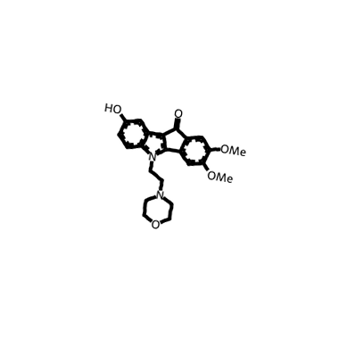 COc1cc2c(cc1OC)-c1c(c3cc(O)ccc3n1CCN1CCOCC1)C2=O